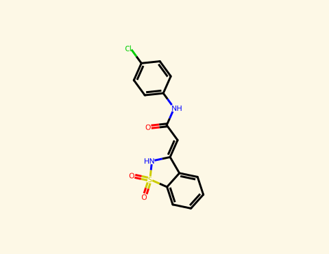 O=C(C=C1NS(=O)(=O)c2ccccc21)Nc1ccc(Cl)cc1